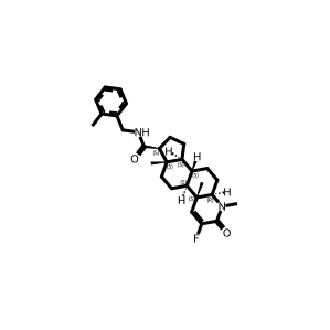 Cc1ccccc1CNC(=O)[C@H]1CC[C@H]2[C@@H]3CC[C@H]4N(C)C(=O)C(F)=C[C@]4(C)[C@H]3CC[C@]12C